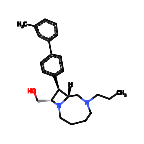 CCCN1CCCCN2[C@H](CO)[C@@H](c3ccc(-c4cccc(C)c4)cc3)[C@@H]2C1